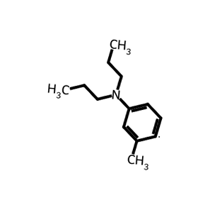 CCCN(CCC)c1cc[c]c(C)c1